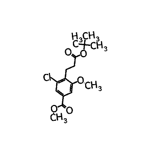 COC(=O)c1cc(Cl)c(CCC(=O)OC(C)(C)C)c(OC)c1